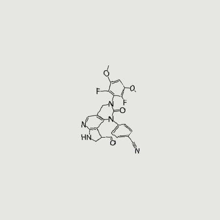 COc1cc(OC)c(F)c(N2Cc3cnc4c(c3N(c3ccc(C#N)cc3)C2=O)C(C=O)CN4)c1F